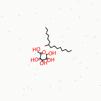 CCCCCCCCC(C)CCCCCC.OC[C@H]1OC(O)[C@H](O)[C@@H](O)[C@@H]1O